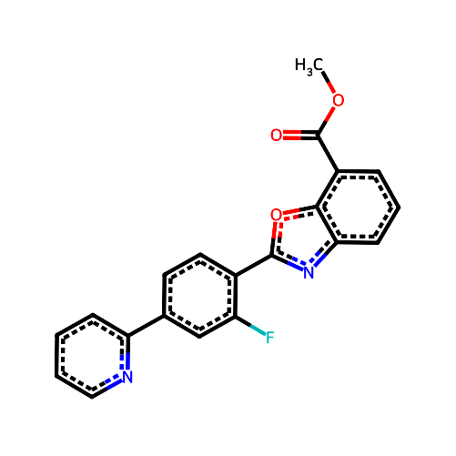 COC(=O)c1cccc2nc(-c3ccc(-c4ccccn4)cc3F)oc12